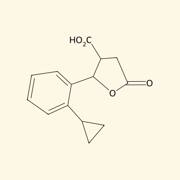 O=C1CC(C(=O)O)C(c2ccccc2C2CC2)O1